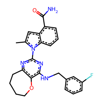 Cc1cc2c(C(N)=O)cccc2n1-c1nc2c(c(NCc3cccc(F)c3)n1)OCCCC2